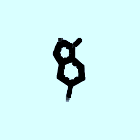 Cn1ncc2cc(F)[c]cc21